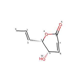 C/C=C/[C@@H]1OC(=O)C=C[C@@H]1O